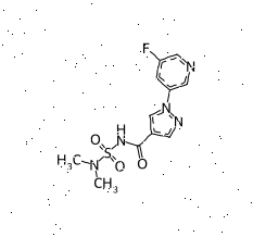 CN(C)S(=O)(=O)NC(=O)c1cnn(-c2cncc(F)c2)c1